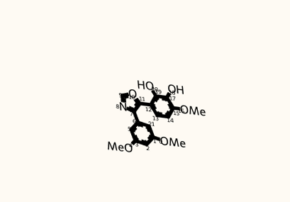 COc1cc(OC)cc(-c2ncoc2-c2ccc(OC)c(O)c2O)c1